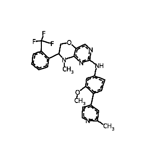 COc1cc(Nc2ncc3c(n2)N(C)C(c2ccccc2C(F)(F)F)CO3)ccc1-c1ccnc(C)c1